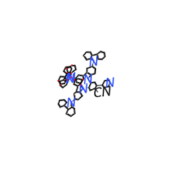 N#Cc1cc(-n2c3ccc(-n4c5ccccc5c5ccccc54)cc3c3cc(-n4c5ccccc5c5ccccc54)ccc32)c(-n2c3ccc(-n4c5ccccc5c5ccccc54)cc3c3cc(-n4c5ccccc5c5ccccc54)ccc32)cc1-c1ccncc1